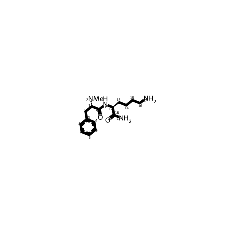 CN[C@@H](Cc1ccccc1)C(=O)N[C@@H](CCCCN)C(N)=O